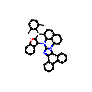 Cc1cccc(C)c1B1c2oc3ccccc3c2-n2c3c1ccc1cccc(c13)n1c3c4ccccc4c4ccccc4c3nc21